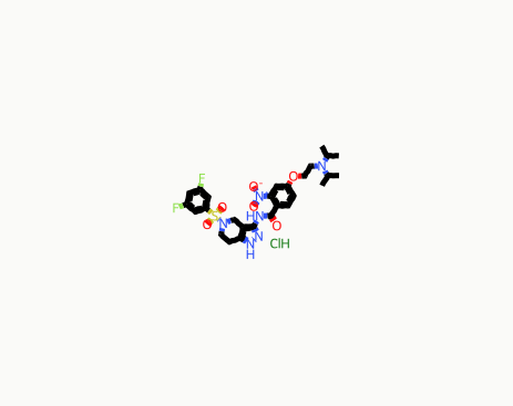 CC(C)N(CCOc1ccc(C(=O)Nc2n[nH]c3c2CN(S(=O)(=O)c2cc(F)cc(F)c2)CC3)c([N+](=O)[O-])c1)C(C)C.Cl